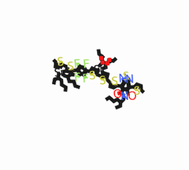 CCCCC(CC)CN1C(=O)c2c(c(-c3ccc(-c4cc5c(s4)-c4sc(-c6c(F)c(F)c(-c7cc8c(s7)-c7sc(C)cc7[Si]8(CC(CC)CCCC)CC(CC)CCCC)c(F)c6F)cc4[Si]5(CC(CC)CCCC)CC(CC)CCCC)s3)c3nsnc3c2-c2ccc(C)s2)C1=O